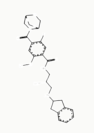 CCOc1cc(C(=O)N2CC3CCCC2CO3)c(F)cc1C(=O)NC[C@@H](O)CNC1Cc2ccccc2C1